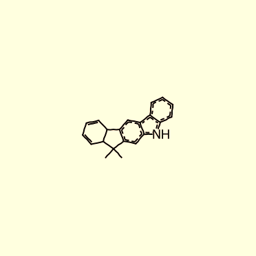 CC1(C)c2cc3[nH]c4ccccc4c3cc2C2C=CC=CC21